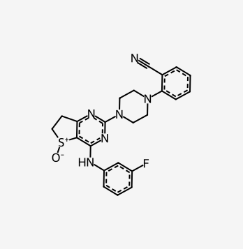 N#Cc1ccccc1N1CCN(c2nc3c(c(Nc4cccc(F)c4)n2)[S+]([O-])CC3)CC1